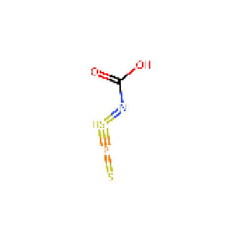 O=C(O)N=[SH]#P=S